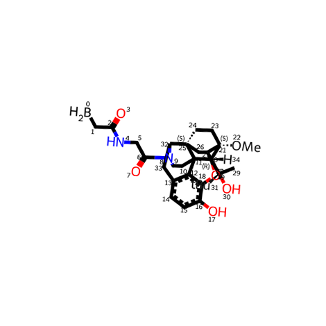 BCC(=O)NCC(=O)N1CCC23c4c5ccc(O)c4O[C@H]2[C@]2(OC)CC[C@@]3(CC2[C@](C)(O)C(C)(C)C)C1C5